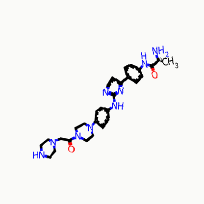 C[C@@H](N)C(=O)Nc1ccc(-c2ccnc(Nc3ccc(N4CCN(C(=O)CN5CCNCC5)CC4)cc3)n2)cc1